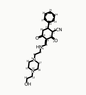 N#CC1C(=O)C(=CNCCN2CCN(CCO)CC2)C(=O)CC1c1ccccc1